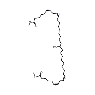 COC(=O)CCCC/C=C\C/C=C\CCCCCCCCC(O)CCCCCCCC/C=C\C/C=C\CCCCC(=O)OC